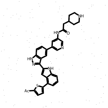 CC(=O)c1ccc(-c2cccc3[nH]c(-c4n[nH]c5ccc(-c6cncc(NC(=O)CC7CCNCC7)c6)cc45)cc23)s1